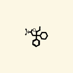 CCC(=O)C(CC(C)N(C)C)(c1ccccc1)C1CCCCC1